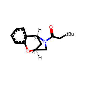 CC(C)(C)CC(=O)N1C[C@@H]2C[C@H]1c1ccccc1O2